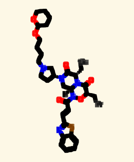 CC(C)C[C@H]1ON(C(=O)/C=C/c2nc3ccccc3s2)[C@H]2CN([C@@H]3CCN(CCCCOC4CCCCO4)C3)C(=O)[C@H](CC(C)(C)C)N2C1=O